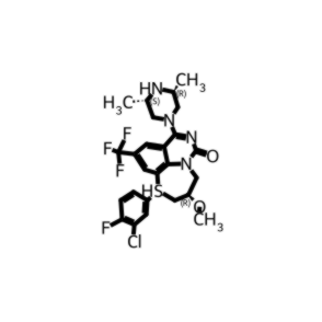 CO[C@@H]1Cn2c(=O)nc(N3C[C@@H](C)N[C@@H](C)C3)c3cc(C(F)(F)F)cc(c32)[SH](c2ccc(F)c(Cl)c2)C1